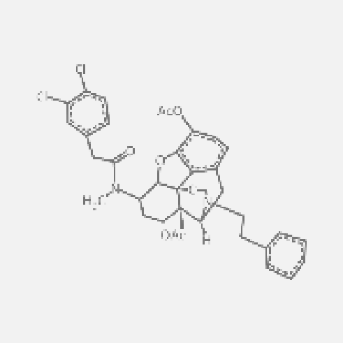 CC(=O)Oc1ccc2c3c1OC1C(N(C)C(=O)Cc4ccc(Cl)c(Cl)c4)CC[C@@]4(OC(C)=O)[C@@H](C2)N(CCc2ccccc2)CC[C@]314